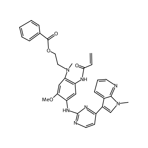 C=CC(=O)Nc1cc(Nc2nccc(-c3cn(C)c4ncccc34)n2)c(OC)cc1N(C)CCOC(=O)c1ccccc1